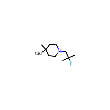 CC(C)(F)CN1CCC(C)(C(C)(C)C)CC1